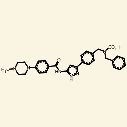 CN1CCN(c2ccc(C(=O)Nc3cc(-c4ccc(CN(Cc5ccccc5)C(=O)O)cc4)n[nH]3)cc2)CC1